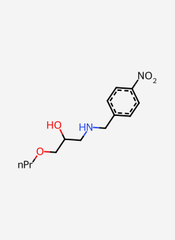 CCCOCC(O)CNCc1ccc([N+](=O)[O-])cc1